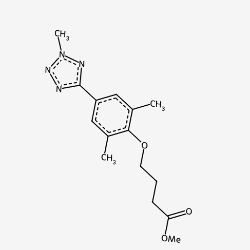 COC(=O)CCCOc1c(C)cc(-c2nnn(C)n2)cc1C